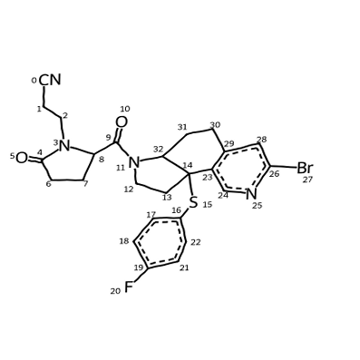 N#CCCN1C(=O)CCC1C(=O)N1CCC2(Sc3ccc(F)cc3)c3cnc(Br)cc3CCC12